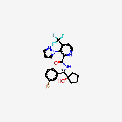 O=C(N[C@@H](c1cccc(Br)c1)C1(O)CCCC1)c1nccc(C(F)(F)F)c1-n1cccn1